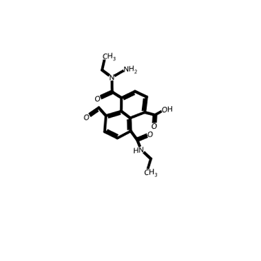 CCNC(=O)c1ccc(C=O)c2c(C(=O)N(N)CC)ccc(C(=O)O)c12